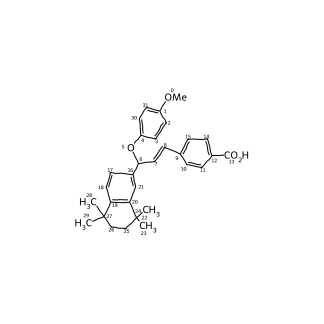 COc1ccc(OC(C=Cc2ccc(C(=O)O)cc2)c2ccc3c(c2)C(C)(C)CCC3(C)C)cc1